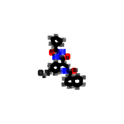 O=C(NNC(=O)C(CNC(=O)c1cccc2ccccc12)c1ccc([N+](=O)[O-])cc1)c1ccccc1